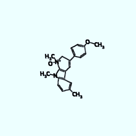 COc1ccc(C2=Cc3c(n(C)c4ccc(C)cc34)[N+](C)([O-])C2)cc1